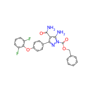 NC(=O)c1c(-c2ccc(Oc3c(F)cccc3F)cc2)nn(C(=O)OCc2ccccc2)c1N